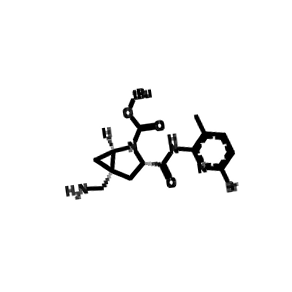 Cc1ccc(Br)nc1NC(=O)[C@@H]1C[C@@]2(CN)C[C@H]2N1C(=O)OC(C)(C)C